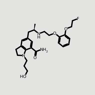 C[C@H](Cc1cc2c(c(C(N)=O)c1)N(CCCO)CC2)NCCOc1ccccc1OCCF